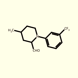 CC1CCN(c2cccc(C(F)(F)F)c2)C(C=O)C1